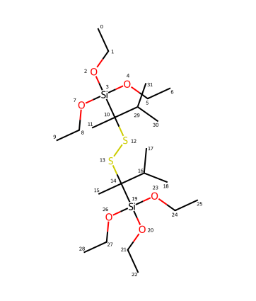 CCO[Si](OCC)(OCC)C(C)(SSC(C)(C(C)C)[Si](OCC)(OCC)OCC)C(C)C